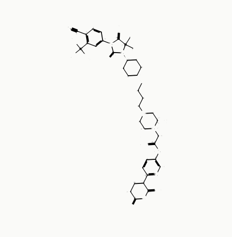 C[C@@H]1CN(CCCC[C@H]2CC[C@H](N3C(=S)N(c4ccc(C#N)c(C(F)(F)F)c4)C(=O)C3(C)C)CC2)C[C@H](C)N1CC(=O)Nc1ccc(C2CCC(=O)NC2=O)nc1